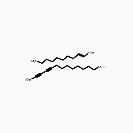 CCCCCCCC/C=C/CCCCCCCC(=O)O.CCCCCCCCCCC#CC#CCCCCCCCCC(=O)O